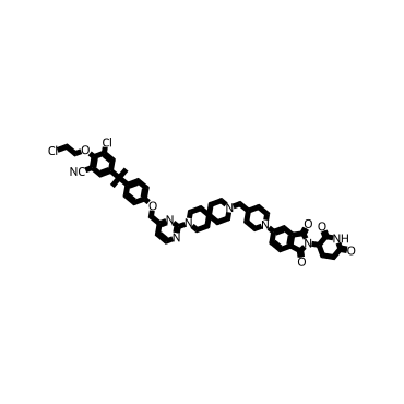 CC(C)(c1ccc(OCc2ccnc(N3CCC4(CCN(CC5CCN(c6ccc7c(c6)C(=O)N(C6CCC(=O)NC6=O)C7=O)CC5)CC4)CC3)n2)cc1)c1cc(Cl)c(OCCCl)c(C#N)c1